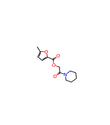 Cc1ccc(C(=O)OCC(=O)N2CCCCC2)o1